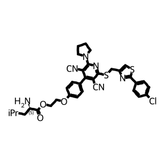 [C-]#[N+]c1c(N2CCCC2)nc(SCc2csc(-c3ccc(Cl)cc3)n2)c(C#N)c1-c1ccc(OCCOC(=O)[C@@H](N)CC(C)C)cc1